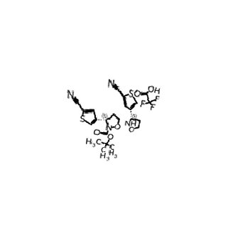 CC(C)(C)OC(=O)N1OCC[C@H]1c1csc(C#N)c1.N#Cc1cc([C@@H]2CCON2)cs1.O=C(O)C(F)(F)F